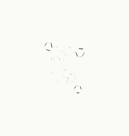 CC1[C@H]2OC(c3ccccc3)OCC2O[C@H](OC[C@H](N)[C@H](OCc2ccccc2)[C@@H](C)OCc2ccccc2)[C@H]1C